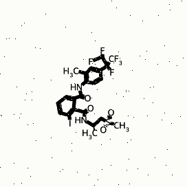 Cc1cc(C(F)(C(F)F)C(F)(F)F)ccc1NC(=O)c1cccc(I)c1C(=O)N[C@@H](C)CS(C)(=O)=O